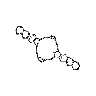 c1ccc2cc3c(cc2c1)C1CCC3C2=C1c1cc3ccc(cc4nc(cc5ccc(cc2n1)[nH]5)C1=C4C2CCC1c1cc4ccccc4cc12)[nH]3